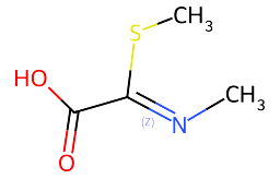 C/N=C(\SC)C(=O)O